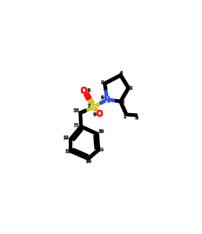 CCC1CCCN1S(=O)(=O)Cc1ccccc1